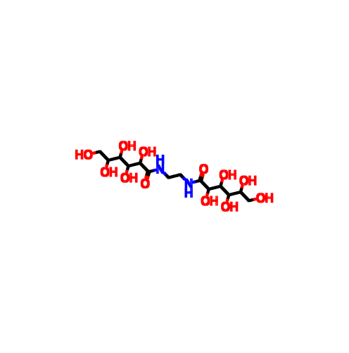 O=C(NCCNC(=O)C(O)C(O)C(O)C(O)CO)C(O)C(O)C(O)C(O)CO